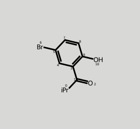 CC(C)C(=O)c1cc(Br)ccc1O